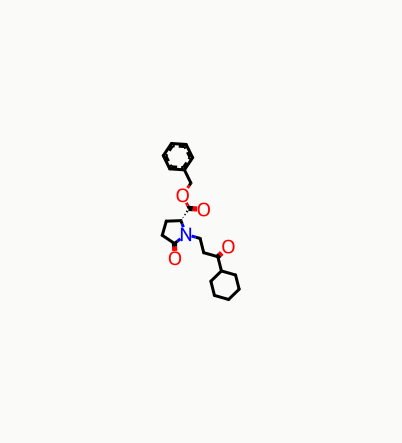 O=C(CCN1C(=O)CC[C@@H]1C(=O)OCc1ccccc1)C1CCCCC1